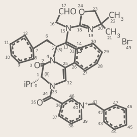 CC(C)[C@@H]1C(=O)N([C@@H](Cc2ccccc2)C(=O)N(CC=O)C2=NC(C)(C)CO2)C(c2ccccc2)=CN1C(=O)c1ccc[n+](Cc2ccccc2)c1.[Br-]